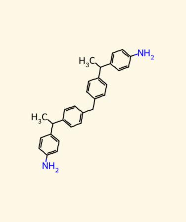 CC(c1ccc(N)cc1)c1ccc(Cc2ccc(C(C)c3ccc(N)cc3)cc2)cc1